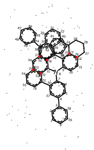 c1ccc(-c2ccc(N(c3ccccc3-c3cccc4cccc(C5CCCCC5)c34)c3cccc4c3c3ccccc3n4-c3ccccc3)c(-c3ccccc3)c2)cc1